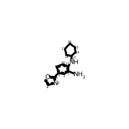 Nc1cc(-c2ncco2)ccc1NC1CCCCC1